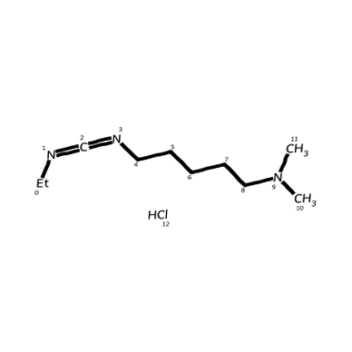 CCN=C=NCCCCCN(C)C.Cl